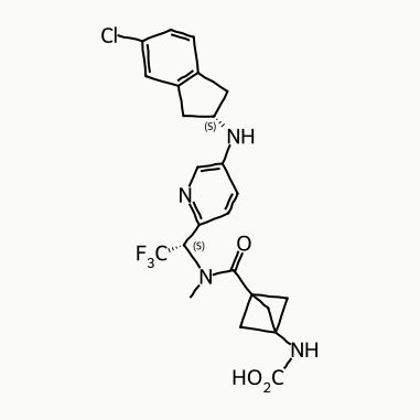 CN(C(=O)C12CC(NC(=O)O)(C1)C2)[C@@H](c1ccc(N[C@H]2Cc3ccc(Cl)cc3C2)cn1)C(F)(F)F